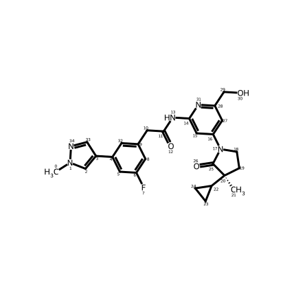 Cn1cc(-c2cc(F)cc(CC(=O)Nc3cc(N4CC[C@@](C)(C5CC5)C4=O)cc(CO)n3)c2)cn1